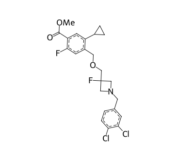 COC(=O)c1cc(C2CC2)c(COCC2(F)CN(Cc3ccc(Cl)c(Cl)c3)C2)cc1F